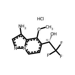 COc1c([C@H](O)C(F)(F)F)ccn2ncc(N)c12.Cl